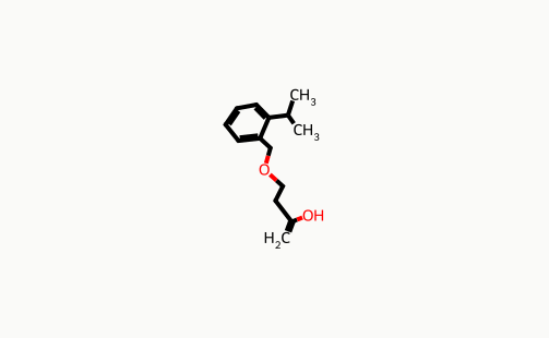 C=C(O)CCOCc1ccccc1C(C)C